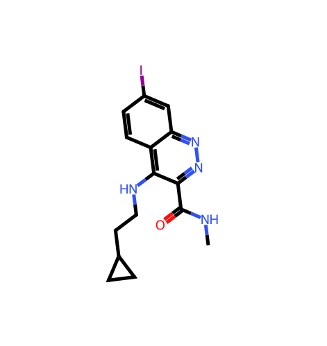 CNC(=O)c1nnc2cc(I)ccc2c1NCCC1CC1